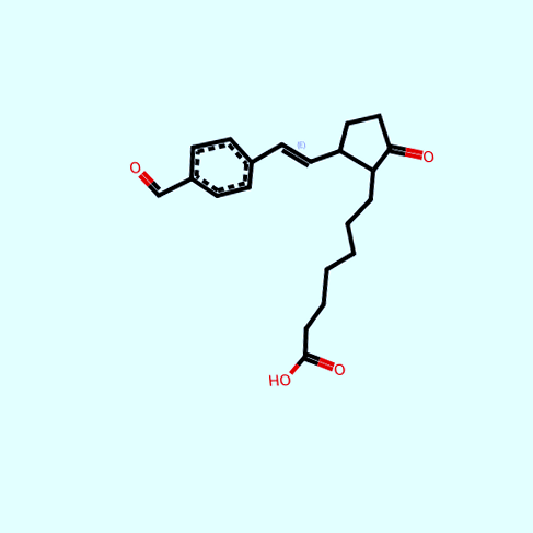 O=Cc1ccc(/C=C/C2CCC(=O)C2CCCCCCC(=O)O)cc1